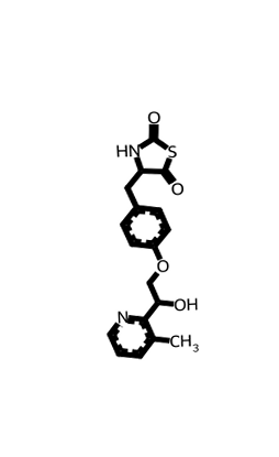 Cc1cccnc1C(O)COc1ccc(CC2NC(=O)SC2=O)cc1